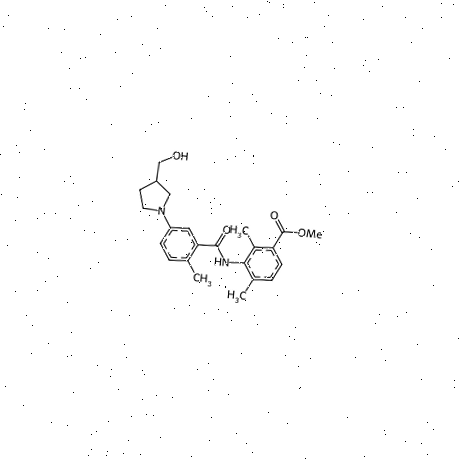 COC(=O)c1ccc(C)c(NC(=O)c2cc(N3CCC(CO)C3)ccc2C)c1C